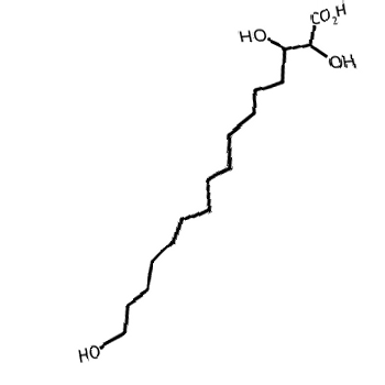 O=C(O)C(O)C(O)CCCCCCCCCCCCCO